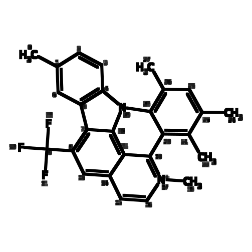 Cc1ccc2c(c1)c1c(C(F)(F)F)cc3cc[n+](C)c4c5c(C)c(C)cc(C)c5n2c1c34